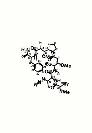 CC[C@H](C)[C@@H]([C@@H](CC(=O)N1CCC[C@H]1[C@H](OC)[C@@H](C)C(=O)N[C@@H](Cc1ccccc1)C(N)=O)OC)N(C)C(=O)[C@@H](NC(=O)[C@@H](NC)C(C)C)C(C)N=[N+]=[N-]